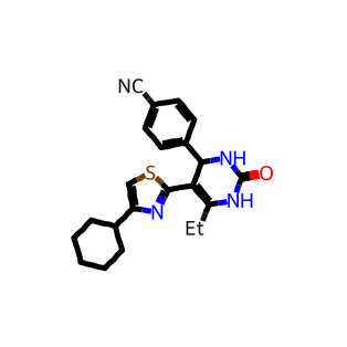 CCC1=C(c2nc(C3CCCCC3)cs2)C(c2ccc(C#N)cc2)NC(=O)N1